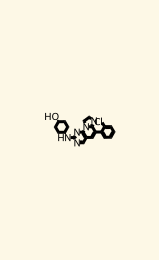 O[C@H]1CC[C@H](Nc2ncc3c(n2)N2CCN=C2C(c2ccccc2Cl)=C3)CC1